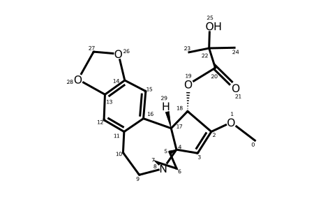 COC1=C[C@]23CCCN2CCc2cc4c(cc2[C@@H]3[C@@H]1OC(=O)C(C)(C)O)OCO4